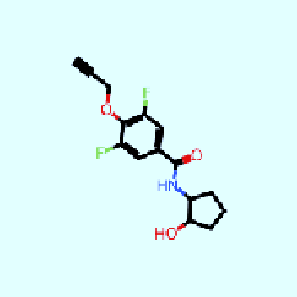 C#CCOc1c(F)cc(C(=O)NC2CCCC2O)cc1F